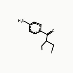 Nc1ccc(C(=O)C(CI)CI)cc1